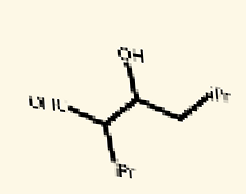 CC(C)CC(O)C(C=O)C(C)C